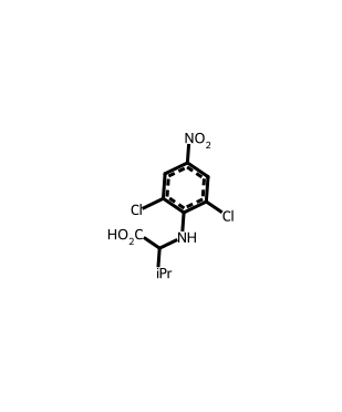 CC(C)C(Nc1c(Cl)cc([N+](=O)[O-])cc1Cl)C(=O)O